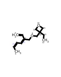 C=C/C(=C\C=C/C)COCC1(CC)COC1